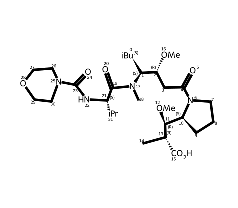 CC[C@H](C)[C@@H]([C@@H](CC(=O)N1CCC[C@H]1[C@H](OC)[C@@H](C)C(=O)O)OC)N(C)C(=O)[C@@H](NC(=O)N1CCOCC1)C(C)C